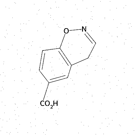 O=C(O)c1ccc2c(c1)CC=NO2